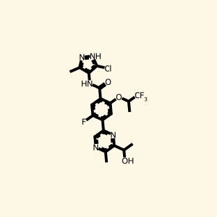 Cc1ncc(-c2cc(OC(C)C(F)(F)F)c(C(=O)Nc3c(C)n[nH]c3Cl)cc2F)nc1C(C)O